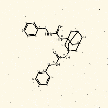 O=C(NCc1ccccc1)NC12CC3CC(C1)CC(NC(=O)NCc1ccccc1)(C3)C2